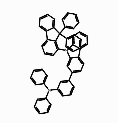 c1ccc(N(c2ccccc2)c2cccc(-c3ccc4c5ccccc5n(-c5cccc6c5C(c5ccccc5)(c5ccccc5)c5ccccc5-6)c4c3)c2)cc1